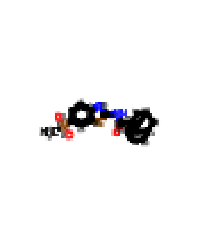 CS(=O)(=O)c1ccc2nc(NC(=O)C34CC5CC(CC(C5)C3)C4)sc2c1